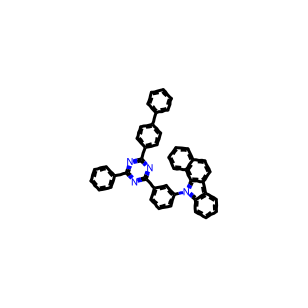 c1ccc(-c2ccc(-c3nc(-c4ccccc4)nc(-c4cccc(-n5c6ccccc6c6ccc7ccccc7c65)c4)n3)cc2)cc1